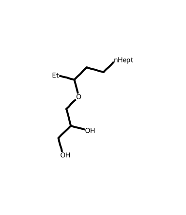 CCCCCCCCCC(CC)OCC(O)CO